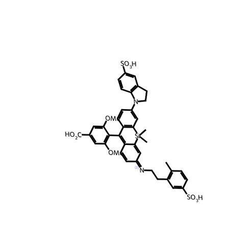 COc1cc(C(=O)O)cc(OC)c1C1=C2C=C/C(=N/CCc3cc(S(=O)(=O)O)ccc3C)C=C2[Si](C)(C)c2cc(N3CCc4cc(S(=O)(=O)O)ccc43)ccc21